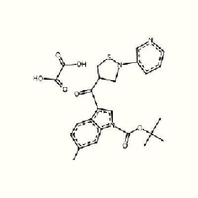 Cc1ccc2c(C(=O)C3CSN(c4cccnc4)C3)cn(C(=O)OC(C)(C)C)c2c1.O=C(O)C(=O)O